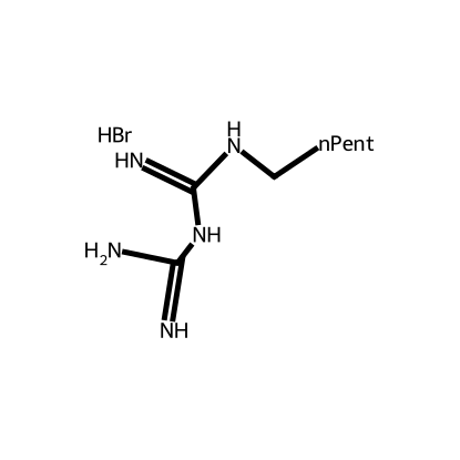 Br.CCCCCCNC(=N)NC(=N)N